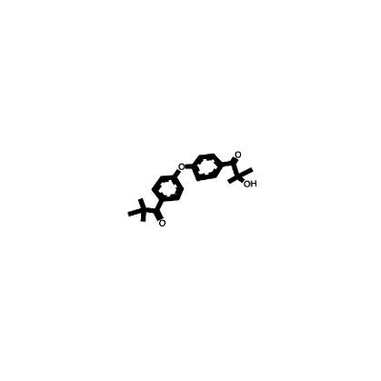 CC(C)(C)C(=O)c1ccc(Oc2ccc(C(=O)C(C)(C)O)cc2)cc1